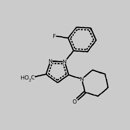 O=C(O)c1cc(N2CCCCC2=O)n(-c2ccccc2F)n1